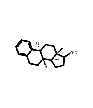 C[C@]12CC[C@@H]3c4ccccc4CC[C@H]3[C@@H]1CCC2C=O